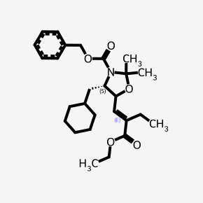 CCOC(=O)/C(=C/C1OC(C)(C)N(C(=O)OCc2ccccc2)[C@H]1CC1CCCCC1)CC